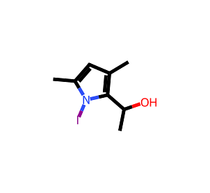 Cc1cc(C)n(I)c1C(C)O